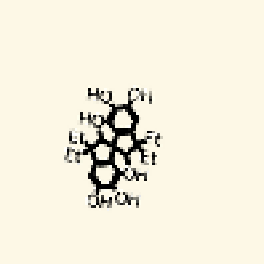 CCC1(CC)c2cc(O)c(O)c(O)c2C2(c3c(cc(O)c(O)c3O)C(CC)(CC)C2C)C1C